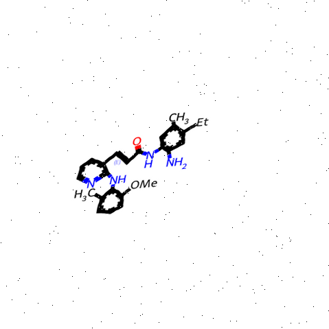 CCc1cc(N)c(NC(=O)/C=C/c2cccnc2Nc2c(C)cccc2OC)cc1C